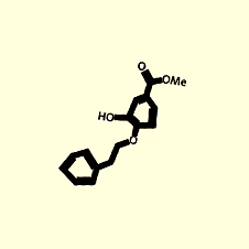 COC(=O)c1ccc(OCCc2ccccc2)c(O)c1